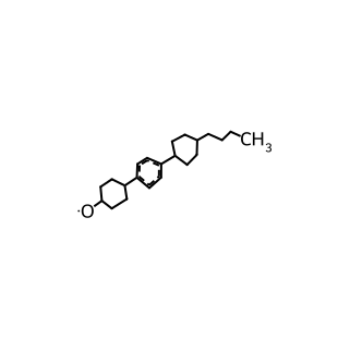 CCCCC1CCC(c2ccc(C3CCC([O])CC3)cc2)CC1